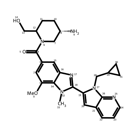 COc1cc(C(=O)N2C[C@@H](N)CCC2CO)cc2nc(-c3cc4cccnc4n3CC3CC3)n(C)c12